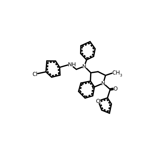 CC1CC(N(CNc2ccc(Cl)cc2)c2ccccc2)c2ccccc2N1C(=O)c1ccco1